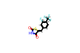 O=C1NC(=O)C(=Cc2ccc(C(F)(F)F)c(F)c2)S1